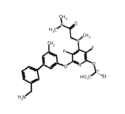 CC[C@@H](Oc1nc(Oc2cc(C)cc(-c3cccc(CN)c3)c2)c(F)c(N(C)CC(=O)N(C)C)c1F)C(=O)O